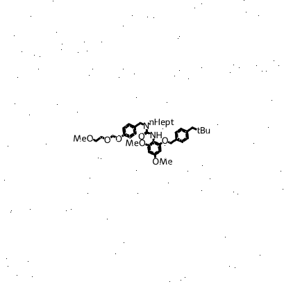 CCCCCCCN(Cc1ccc(OCOCCOC)cc1)C(=O)Nc1c(OC)cc(OC)cc1OCc1ccc(CC(C)(C)C)cc1